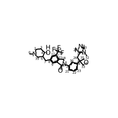 CN1CC[C@H](O)C(Cc2cc3c(c(C(F)(F)F)c2)CN(c2cccc(C4(Cc5nncn5C)COC4)c2)C3=O)C1